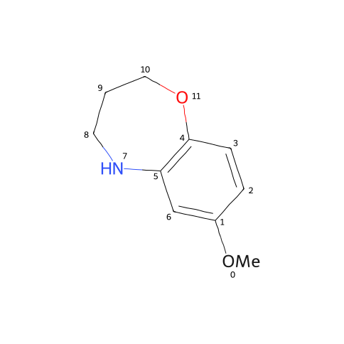 COc1ccc2c(c1)NCCCO2